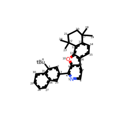 CC(C)(C)c1cc(-c2nccc3c2oc2c4c(ccc23)C(C)(C)CCC4(C)C)cc2ccccc12